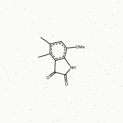 COc1cc(C)c(C)c2c1NC(=O)C2=O